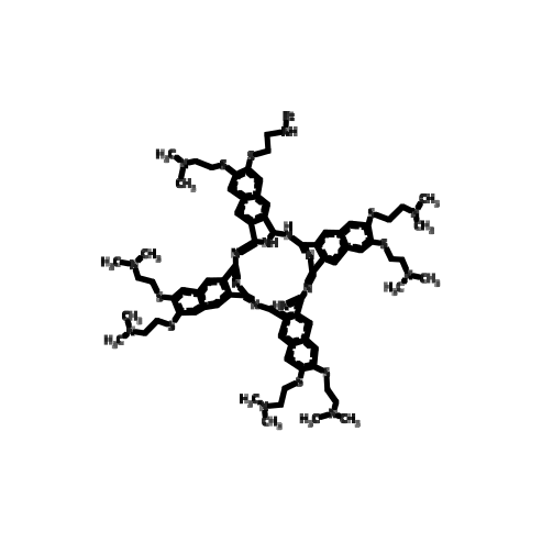 CCNCCSc1cc2cc3c(cc2cc1SCCN(C)C)/C1=N/C2=NC(=N\c4[nH]c(c5cc6cc(SCCN(C)C)c(SCCN(C)C)cc6cc45)/N=C4\N=C(NC3N1)c1cc3cc(SCCN(C)C)c(SCCN(C)C)cc3cc14)/c1cc3cc(SCCN(C)C)c(SCCN(C)C)cc3cc12